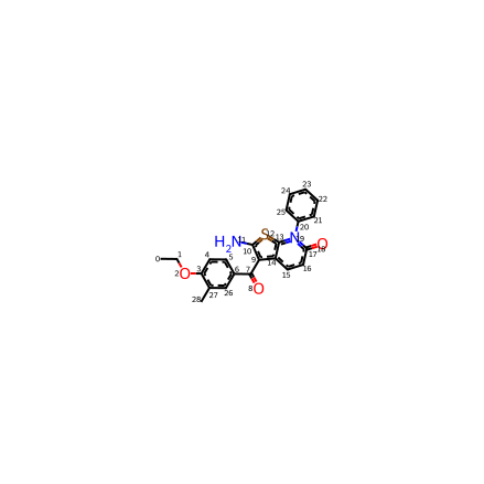 CCOc1ccc(C(=O)c2c(N)sc3c2ccc(=O)n3-c2ccccc2)cc1C